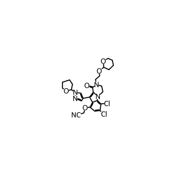 N#CCOc1cc(Cl)c(Cl)c2c1c(-c1cnn(C3CCCCO3)c1)c1n2CCN(CCOC2CCCCO2)C1=O